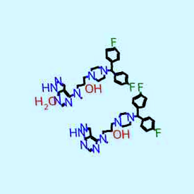 CN(CC(O)CN1CCN(C(c2ccc(F)cc2)c2ccc(F)cc2)CC1)c1ncnc2[nH]ncc12.CN(CC(O)CN1CCN(C(c2ccc(F)cc2)c2ccc(F)cc2)CC1)c1ncnc2[nH]ncc12.O